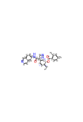 C=C(/C=C\C(=C/C)COC(=O)c1ccc(C)cc1C)[C@H](CN)C(=O)Nc1ccc2cnccc2c1